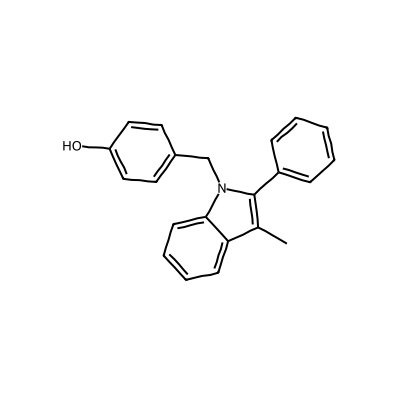 Cc1c(-c2ccccc2)n(Cc2ccc(O)cc2)c2ccccc12